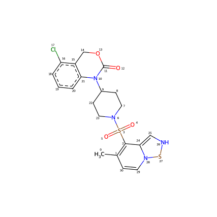 CC1=C(S(=O)(=O)N2CCC(N3C(=O)OCc4c(Cl)cccc43)CC2)C2=CNSN2C=C1